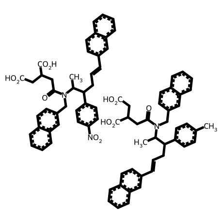 CC(C(C/C=C/c1ccc2ccccc2c1)c1ccc([N+](=O)[O-])cc1)N(Cc1ccc2ccccc2c1)C(=O)CC(CC(=O)O)C(=O)O.Cc1ccc(C(C/C=C/c2ccc3ccccc3c2)C(C)N(Cc2ccc3ccccc3c2)C(=O)CC(CC(=O)O)C(=O)O)cc1